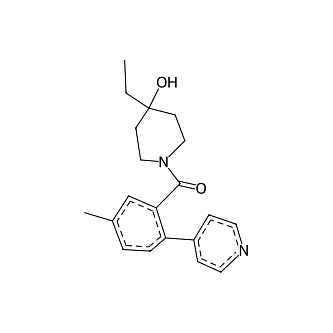 CCC1(O)CCN(C(=O)c2cc(C)ccc2-c2ccncc2)CC1